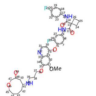 COc1cc2c(Oc3ccc(NC(=O)C4(C(=O)Nc5ccc(F)cc5)CCC4)cc3F)ccnc2cc1OCCCNC1CCCCOCC(=O)C1